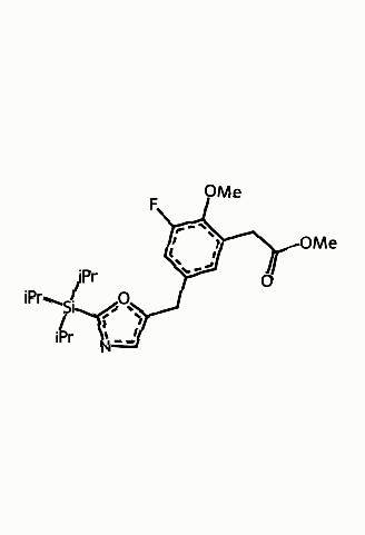 COC(=O)Cc1cc(Cc2cnc([Si](C(C)C)(C(C)C)C(C)C)o2)cc(F)c1OC